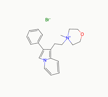 C[N+]1(CCc2c(-c3ccccc3)cn3ccccc23)CCOCC1.[Br-]